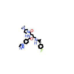 CN(C)C1CCN(C(=O)C(CCCN[C@@H]2C[C@H]2c2ccc(F)cc2)NC(=O)c2ccc(-n3ccnn3)cc2)C1